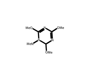 CNN1C(OC)=NC(OC)=NC1OC